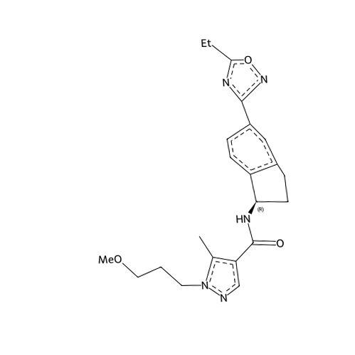 CCc1nc(-c2ccc3c(c2)CC[C@H]3NC(=O)c2cnn(CCCOC)c2C)no1